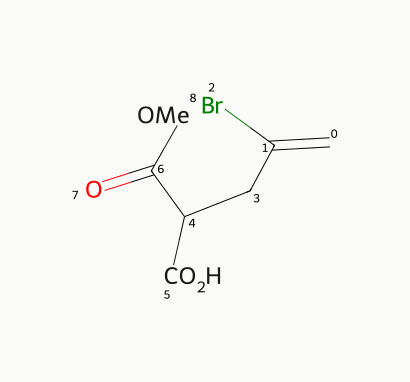 C=C(Br)CC(C(=O)O)C(=O)OC